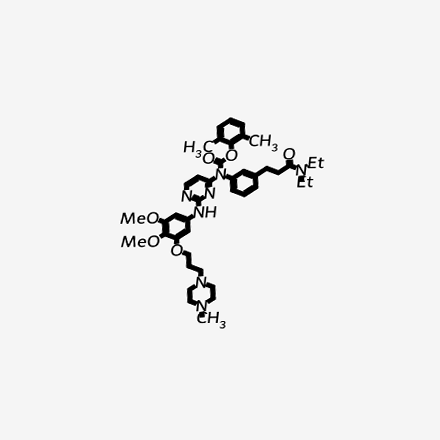 CCN(CC)C(=O)CCc1cccc(N(C(=O)Oc2c(C)cccc2C)c2ccnc(Nc3cc(OC)c(OC)c(OCCCN4CCN(C)CC4)c3)n2)c1